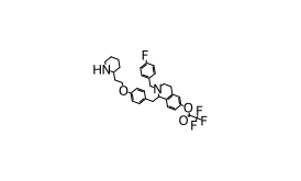 O=C(Oc1ccc2c(c1)CCN(Cc1ccc(F)cc1)C2Cc1ccc(OCCC2CCCCN2)cc1)C(F)(F)F